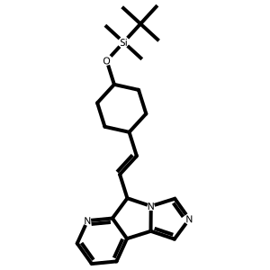 CC(C)(C)[Si](C)(C)OC1CCC(C=CC2c3ncccc3-c3cncn32)CC1